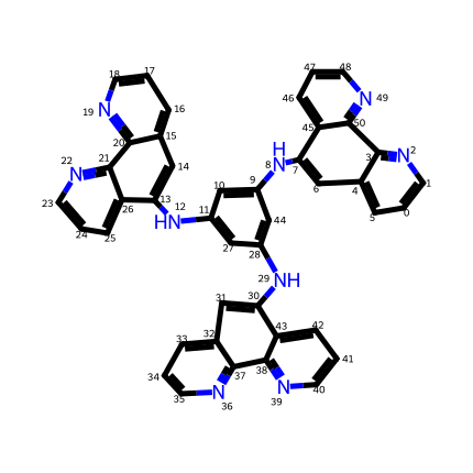 c1cnc2c(c1)cc(Nc1cc(Nc3cc4cccnc4c4ncccc34)cc(Nc3cc4cccnc4c4ncccc34)c1)c1cccnc12